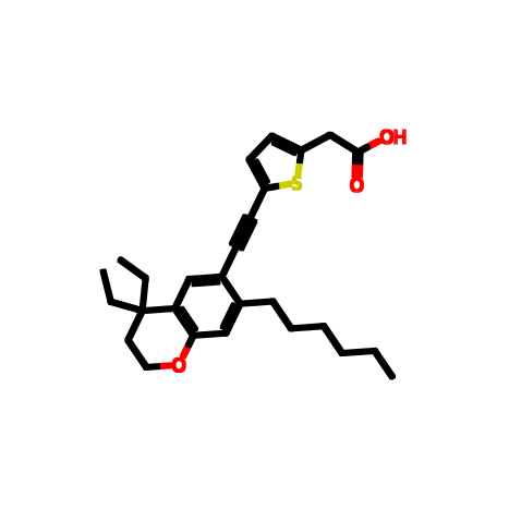 CCCCCCc1cc2c(cc1C#Cc1ccc(CC(=O)O)s1)C(CC)(CC)CCO2